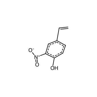 C=Cc1ccc(O)c([N+](=O)[O-])c1